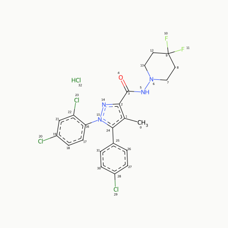 Cc1c(C(=O)NN2CCC(F)(F)CC2)nn(-c2ccc(Cl)cc2Cl)c1-c1ccc(Cl)cc1.Cl